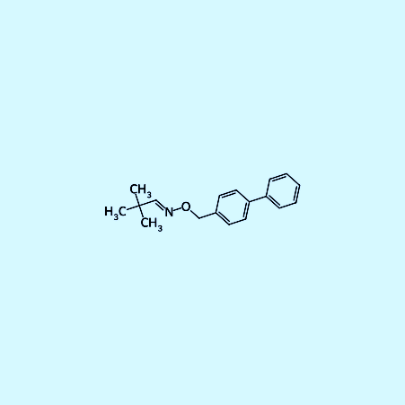 CC(C)(C)C=NOCc1ccc(-c2ccccc2)cc1